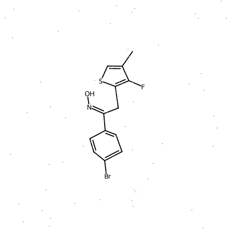 Cc1csc(CC(=NO)c2ccc(Br)cc2)c1F